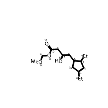 CCC1CC(CC)C(CC(O)CC(=O)OCOC)C1